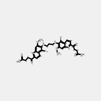 COc1cc2nc(C(=O)CCC(=O)O)ccc2c(F)c1OCCCOc1c(OC)cc2nc(C(=O)CCC(=O)O)ccc2c1F